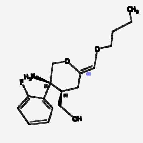 CCCCO/C=C1/C[C@@H](CO)[C@](N)(c2ccccc2F)CO1